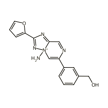 N[N+]12C=C(c3cccc(CO)c3)N=CC1=NC(c1ccco1)=N2